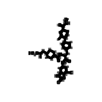 Cc1cc(C(=O)NC(C)C)ccc1-c1ccc(C[C@H](NC(=O)C2CCC(CNC(=O)O)CC2)C(=O)Nc2cc(Cl)c3oc(=O)[nH]c3c2)cc1